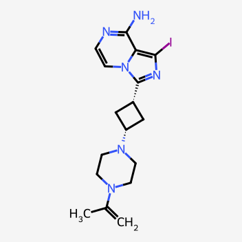 C=C(C)N1CCN([C@H]2C[C@@H](c3nc(I)c4c(N)nccn43)C2)CC1